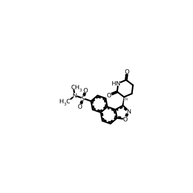 CN(C)S(=O)(=O)c1ccc2c(ccc3onc([C@@H]4CCC(=O)NC4=O)c32)c1